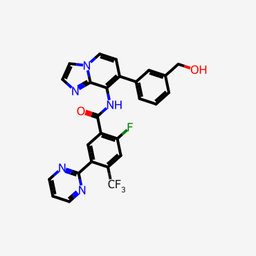 O=C(Nc1c(-c2cccc(CO)c2)ccn2ccnc12)c1cc(-c2ncccn2)c(C(F)(F)F)cc1F